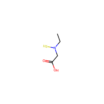 CCN(S)CC(=O)O